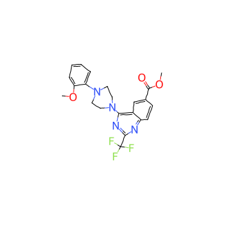 COC(=O)c1ccc2nc(C(F)(F)F)nc(N3CCN(c4ccccc4OC)CC3)c2c1